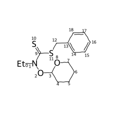 CCN(OC1CCCCO1)C(=S)SCc1ccccc1